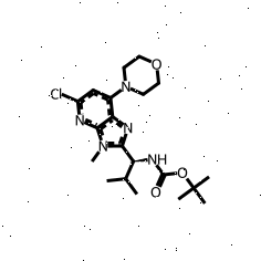 CC(C)[C@H](NC(=O)OC(C)(C)C)c1nc2c(N3CCOCC3)cc(Cl)nc2n1C